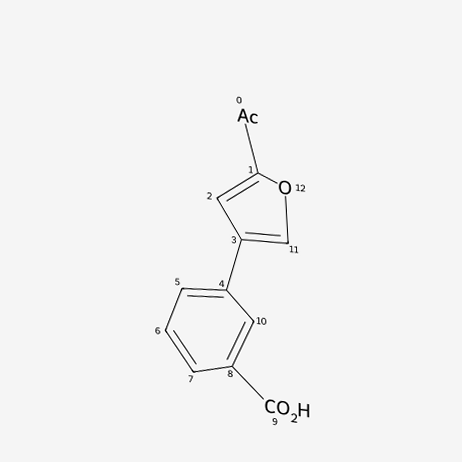 CC(=O)c1cc(-c2cccc(C(=O)O)c2)co1